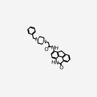 O=C(CN1CCN(Cc2ccccc2)CC1)Nc1ccc2[nH]c(=O)c3cccc4c3c2c1C4